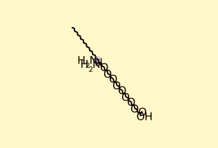 CCCCCCCCCCCCCCCC/C(N)=C/N(N)CCOCCOCCOCCOCCOCCOCCOCCOCCC(=O)O